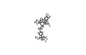 BC(B)(B)c1cnc(CNCC2(F)CC(B)(B)N(C(=O)c3ccc(F)c(Cl)c3)C(B)(B)C2)nc1